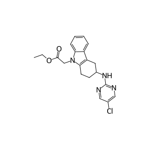 CCOC(=O)Cn1c2c(c3ccccc31)CC(Nc1ncc(Cl)cn1)CC2